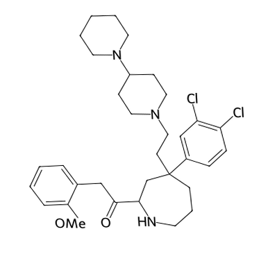 COc1ccccc1CC(=O)C1CC(CCN2CCC(N3CCCCC3)CC2)(c2ccc(Cl)c(Cl)c2)CCCN1